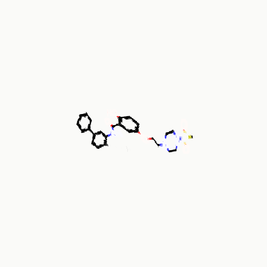 CS(=O)(=O)N1CCN(CCOc2ccc(O)c(C(=O)Nc3cc(-c4ccccc4)ccc3C(=O)O)c2)CC1